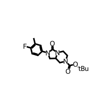 Cc1cc(N2CC3CN(C(=O)OC(C)(C)C)CCN3C2=O)ccc1F